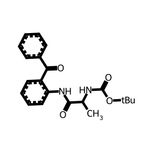 CC(NC(=O)OC(C)(C)C)C(=O)Nc1ccccc1C(=O)c1ccccc1